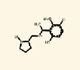 CCN1CCCC1CNC(C)c1c(O)ccc(Cl)c1OC